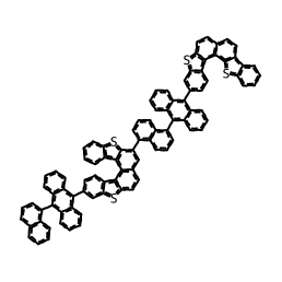 c1ccc2c(-c3c4ccccc4c(-c4ccc5c(c4)sc4ccc6cc(-c7cccc8c(-c9c%10ccccc%10c(-c%10ccc%11c(c%10)sc%10ccc%12ccc%13c%14ccccc%14sc%13c%12c%10%11)c%10ccccc9%10)cccc78)c7sc8ccccc8c7c6c45)c4ccccc34)cccc2c1